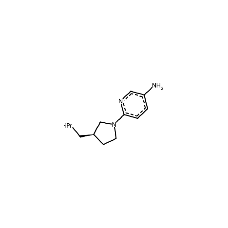 C[C](C)C[C@@H]1CCN(c2ccc(N)cn2)C1